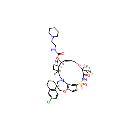 CC1(C)OCC=C[C@H](OC(=O)NCCN2CCCCC2)[C@@H]2CC[C@H]2CN2C[C@@]3(CCCc4cc(Cl)ccc43)COc3ccc(cc32)S(=O)(=O)NC1=O